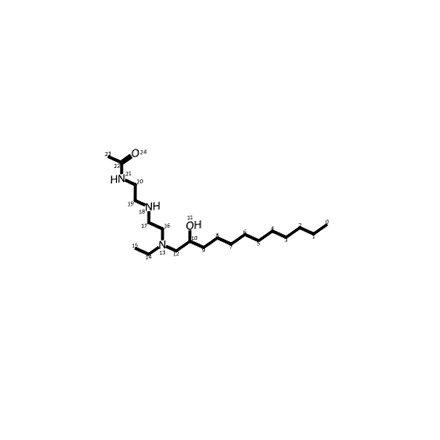 CCCCCCCCCCC(O)CN(CC)CCNCCNC(C)=O